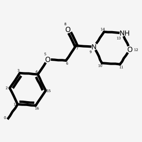 Cc1ccc(OCC(=O)N2CCONC2)cc1